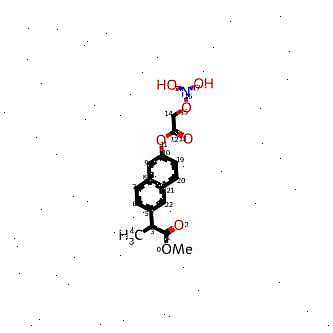 COC(=O)C(C)c1ccc2cc(OC(=O)CON(O)O)ccc2c1